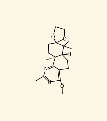 COc1nc(C)nc2c1CC[C@H]1C(C)(C)C3(CC[C@]21C)OCCO3